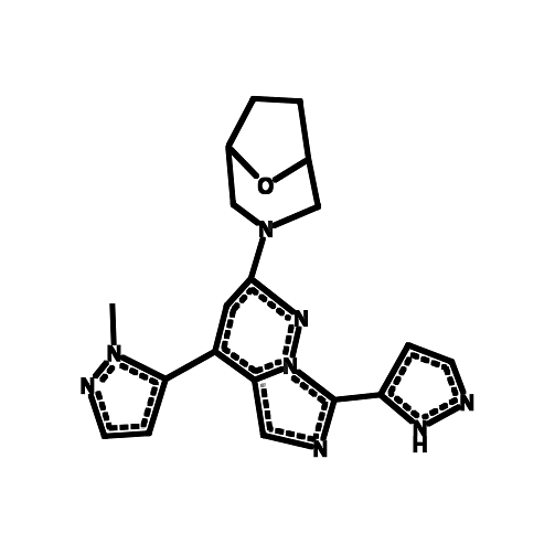 Cn1nccc1-c1cc(N2CC3CCC(C2)O3)nn2c(-c3ccn[nH]3)ncc12